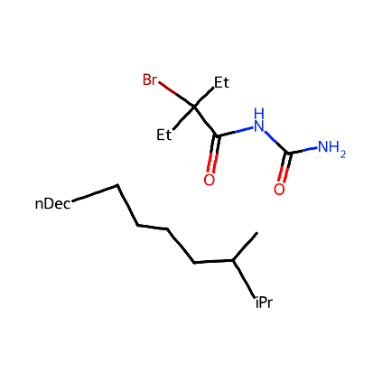 CCC(Br)(CC)C(=O)NC(N)=O.CCCCCCCCCCCCCCC(C)C(C)C